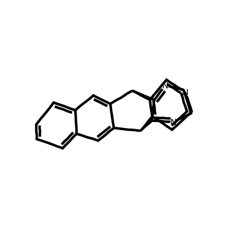 c1ccc2cc3c(cc2c1)C1c2ccncc2C3c2nccnc21